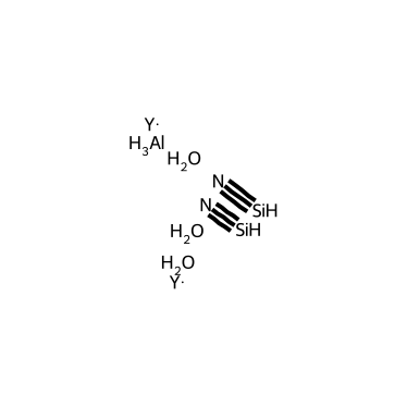 N#[SiH].N#[SiH].O.O.O.[AlH3].[Y].[Y]